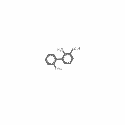 COc1ccccc1-c1cccc(C(=O)O)c1N